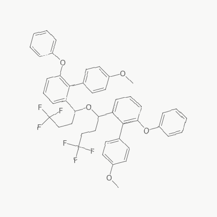 COc1ccc(-c2c(Oc3ccccc3)cccc2C(CCC(F)(F)F)OC(CCC(F)(F)F)c2cccc(Oc3ccccc3)c2-c2ccc(OC)cc2)cc1